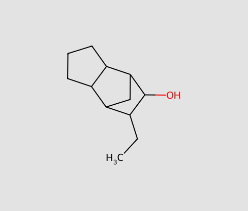 CCC1C(O)C2CC1C1CCCC21